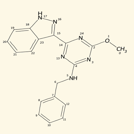 COc1nc(NCc2ccccc2)nc(-c2n[nH]c3ccccc23)n1